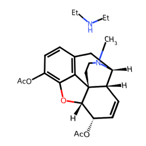 CC(=O)Oc1ccc2c3c1O[C@H]1[C@@H](OC(C)=O)C=C[C@H]4[C@@H](C2)N(C)CC[C@@]341.CCNCC